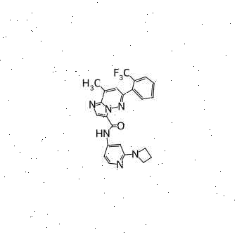 Cc1cc(-c2ccccc2C(F)(F)F)nn2c(C(=O)Nc3ccnc(N4CCC4)c3)cnc12